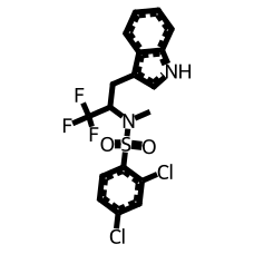 CN(C(Cc1c[nH]c2ccccc12)C(F)(F)F)S(=O)(=O)c1ccc(Cl)cc1Cl